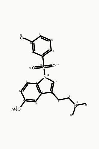 COc1ccc2c(c1)c(CCN(C)C)cn2S(=O)(=O)c1cccc(Cl)c1